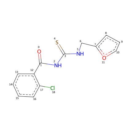 O=C(NC(=S)NCc1ccco1)c1ccccc1Cl